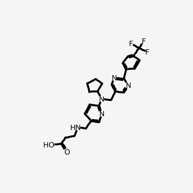 O=C(O)CCNCc1ccc(N(Cc2cnc(-c3ccc(C(F)(F)F)cc3)nc2)C2CCCC2)nc1